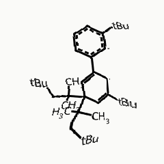 CC(C)(C)CC(C)(C)C1(C(C)(C)CC(C)(C)C)C=C(c2[c]c(C(C)(C)C)ccc2)[CH]C(C(C)(C)C)=C1